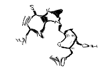 Nc1nc2c(ncn2[C@H]2C[C@@H](O)[C@@H](CO)O2)c(=S)[nH]1